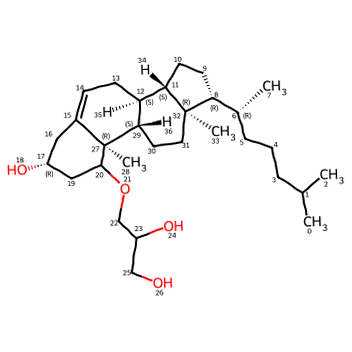 CC(C)CCC[C@@H](C)[C@H]1CC[C@H]2[C@@H]3CC=C4C[C@@H](O)CC(OCC(O)CO)[C@]4(C)[C@H]3CC[C@]12C